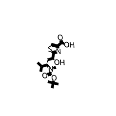 CC(C)[C@H](C[C@H](O)c1nc(C(=O)O)cs1)N(C)C(=O)OC(C)(C)C